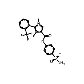 Cc1c(C(=O)Nc2ccc(S(N)(=O)=O)cc2)cn(C)c1-c1ccccc1C(F)(F)F